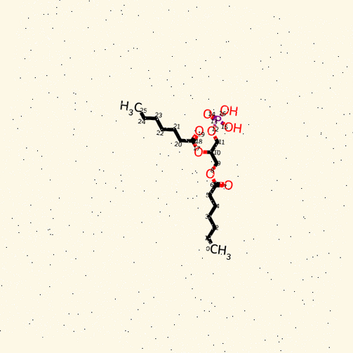 CCCCCCC(=O)OCC(COP(=O)(O)O)OC(=O)CCCCCC